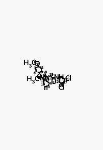 COc1ccc(OC)c(Cc2nc3ccccc3n2CC(=O)Nc2cc(Cl)cc(Cl)c2)c1